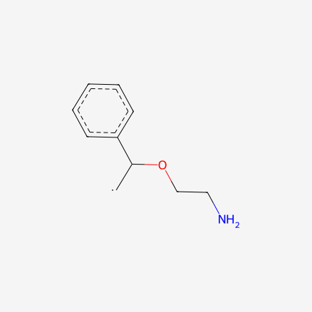 [CH2]C(OCCN)c1ccccc1